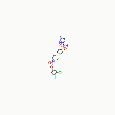 O=C(COc1ccc(F)c(Cl)c1)N1CCC(c2ccc(S(=O)(=O)Nc3ccncn3)cc2)CC1